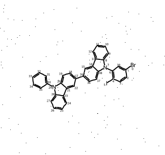 Brc1ccc(I)c(-n2c3ccccc3c3cc(-c4ccc5c(c4)c4ccccc4n5-c4ccccc4)ccc32)c1